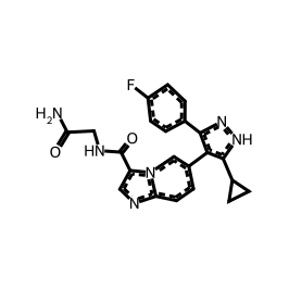 NC(=O)CNC(=O)c1cnc2ccc(-c3c(-c4ccc(F)cc4)n[nH]c3C3CC3)cn12